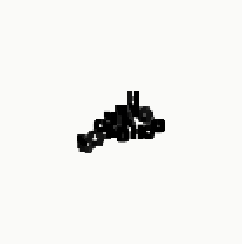 Cn1c(N[C@H]2CC[C@@H](C(=O)O)C2)nc2c1c(=O)n(Cc1ccc3sccc3c1)c(=O)n2C